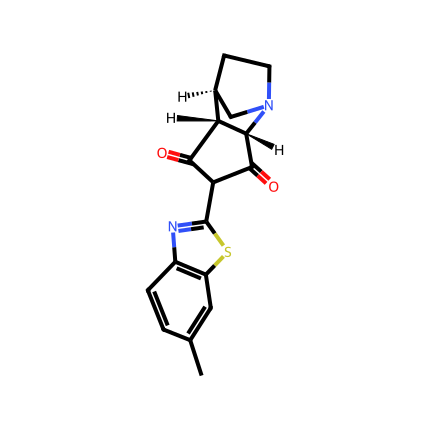 Cc1ccc2nc(C3C(=O)[C@@H]4[C@H]5CCN(C5)[C@@H]4C3=O)sc2c1